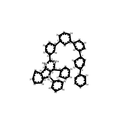 c1ccc(-c2ccc(-c3cccc(-c4cccc(-c5cccc(-c6nc(-c7ccccc7)c7c(n6)c6ccccc6n7-c6ccccc6)c5)c4)c3)cc2)cc1